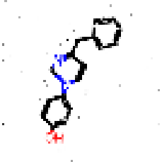 Oc1ccc(N2C=CC(Cc3ccccc3)=NC2)cc1